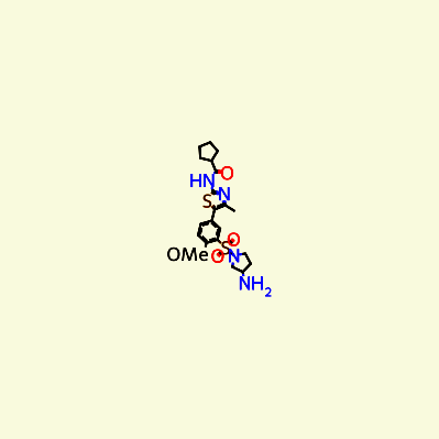 COc1ccc(-c2sc(NC(=O)C3CCCC3)nc2C)cc1S(=O)(=O)N1CCC(N)C1